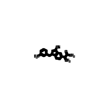 C=C(C(N)=O)c1ccc2c(c1)c(C#N)cn2Cc1cccc(C(F)(F)F)c1